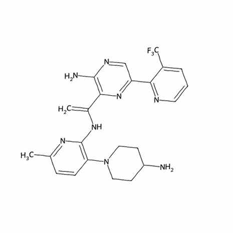 C=C(Nc1nc(C)ccc1N1CCC(N)CC1)c1nc(-c2ncccc2C(F)(F)F)cnc1N